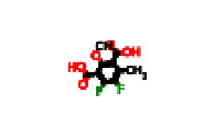 COc1c(C(=O)O)c(C)c(F)c(F)c1C(=O)O